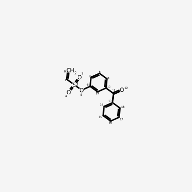 C=CS(=O)(=O)Oc1cccc(C(=O)c2ccccc2)c1